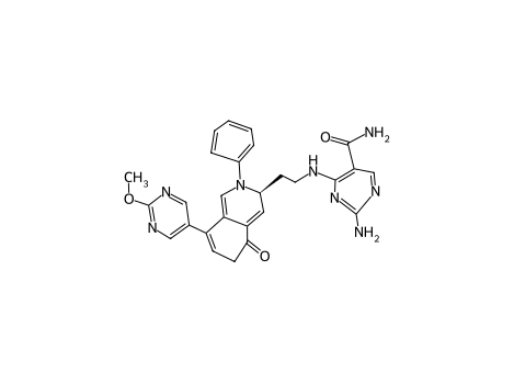 COc1ncc(C2=CCC(=O)C3=C[C@H](CCNc4nc(N)ncc4C(N)=O)N(c4ccccc4)C=C32)cn1